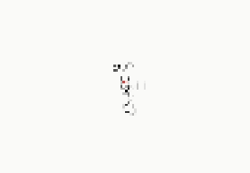 Cc1ccccc1[S+](c1ccccc1)c1ccccc1.O=C(OCC(F)(F)S(=O)(=O)O)c1cccc2ccccc12